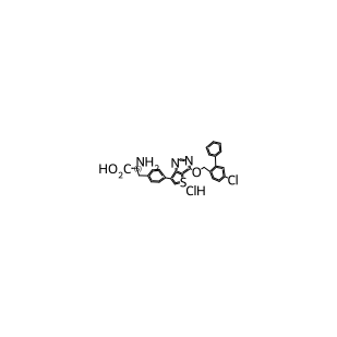 Cl.N[C@@H](Cc1ccc(-c2csc3c(OCc4ccc(Cl)cc4-c4ccccc4)ncnc23)cc1)C(=O)O